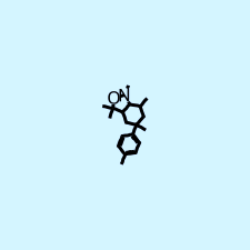 Cc1ccc(C2(C)CC(C)C3C(C2)C(C)(C)ON3C)cc1